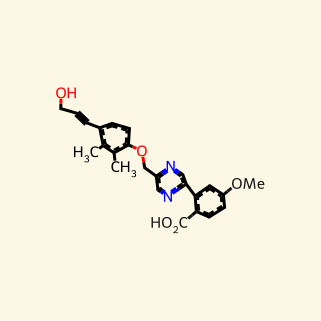 COc1ccc(C(=O)O)c(-c2cnc(COc3ccc(C#CCO)c(C)c3C)cn2)c1